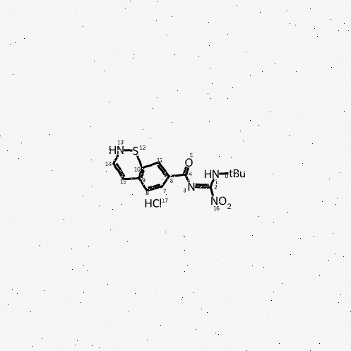 CC(C)(C)NC(=NC(=O)c1ccc2c(c1)SNC=C2)[N+](=O)[O-].Cl